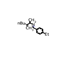 C=C(/N=C/c1ccc(CC)cc1)[C@@H](C)CCCC